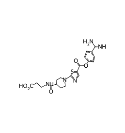 N=C(N)c1ccc(OC(=O)c2cnc(N3CCC(C(=O)NCCC(=O)O)CC3)s2)cc1